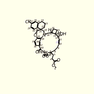 COC(=O)CC[C@@]1(C)CC/C=C\[C@H](O)[C@@H]2CC[C@H]2CN2C[C@@]3(CCCc4cc(Cl)ccc43)COc3ccc(cc32)C(=O)NS1(=O)=O